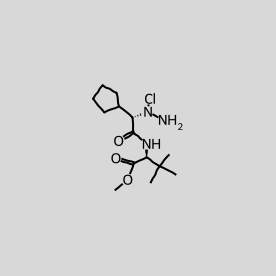 COC(=O)[C@@H](NC(=O)[C@H](C1CCCC1)N(N)Cl)C(C)(C)C